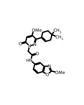 COc1nc2cc(NC(=O)Cn3nc(C4=CCC(C)(C)CC4)c(OC)cc3=O)ccc2o1